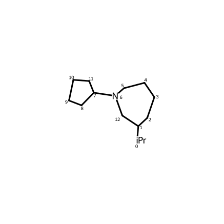 CC(C)C1CCCCN(C2CCCC2)C1